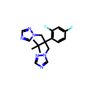 CC(C)(C)C(Cn1cncn1)(Cn1cncn1)c1ccc(F)cc1F